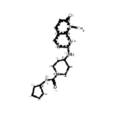 Cn1c(=O)ccc2cnc(NC3CCN(C(=O)NC4CCCC4)CC3)nc21